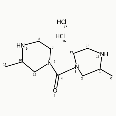 CC1CN(C(=O)N2CCNC(C)C2)CCN1.Cl.Cl